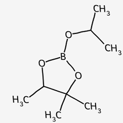 CC(C)OB1OC(C)C(C)(C)O1